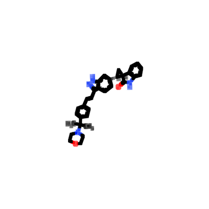 CC(C)(c1ccc(C=Cc2n[nH]c3cc([C@@H]4C[C@@]45C(=O)Nc4ccccc45)ccc23)cc1)N1CCOCC1